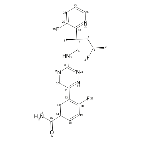 C[C@@H](F)C[C@](C)(CNc1ncc(-c2cc(C(N)=O)ccc2F)nn1)c1ncccc1F